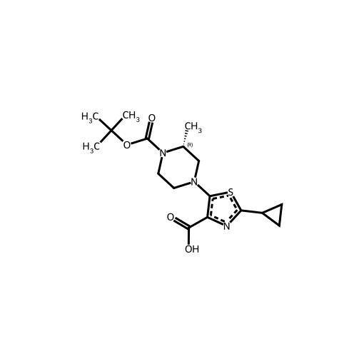 C[C@@H]1CN(c2sc(C3CC3)nc2C(=O)O)CCN1C(=O)OC(C)(C)C